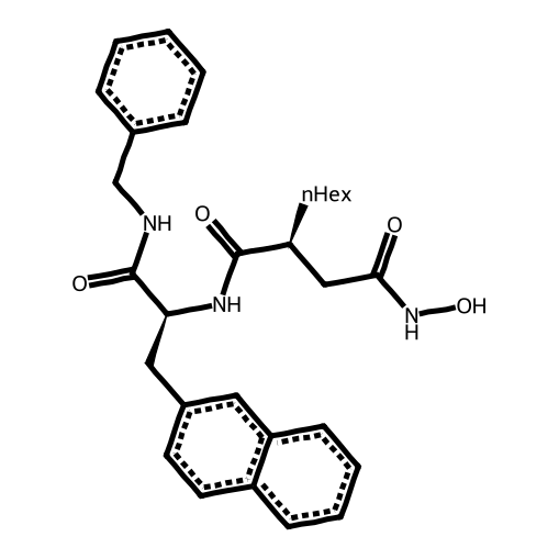 CCCCCC[C@@H](CC(=O)NO)C(=O)N[C@@H](Cc1ccc2ccccc2c1)C(=O)NCc1ccccc1